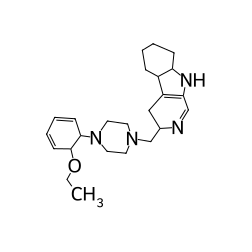 CCOC1C=CC=CC1N1CCN(CC2CC3=C(C=N2)NC2CCCCC32)CC1